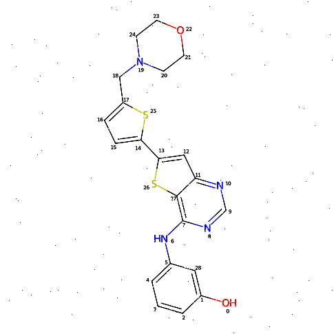 Oc1cccc(Nc2ncnc3cc(-c4ccc(CN5CCOCC5)s4)sc23)c1